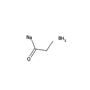 B.CC[C](=O)[Na]